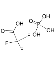 O=C(O)C(F)(F)F.O=P(O)(O)O